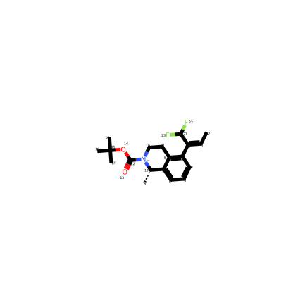 C/C=C(/c1cccc2c1CCN(C(=O)OC(C)(C)C)[C@H]2C)C(F)F